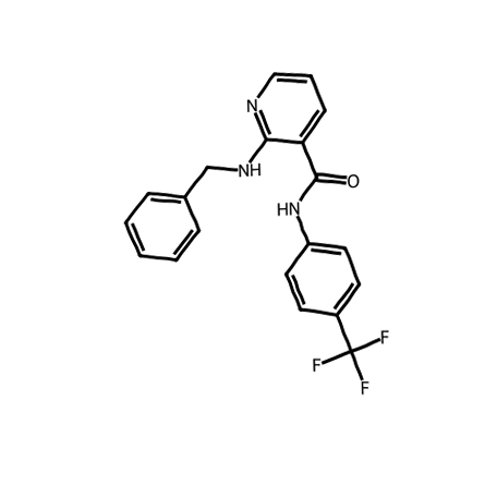 O=C(Nc1ccc(C(F)(F)F)cc1)c1cccnc1NCc1ccccc1